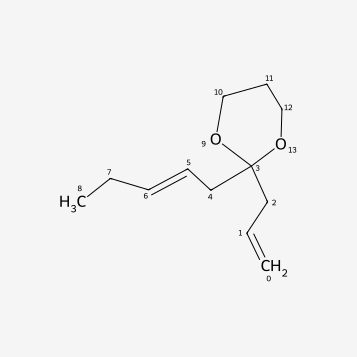 C=CCC1(CC=CCC)OCCCO1